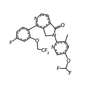 Cc1cc(OC(F)F)cnc1N1Cc2c(ccnc2-c2ccc(F)cc2OCC(F)(F)F)C1=O